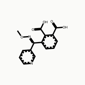 CO/N=C(\c1cccnc1)c1cccc(C(=O)O)c1C(=O)O